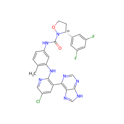 Cc1ccc(NC(=O)N2OCC[C@@H]2c2cc(F)cc(F)c2)cc1Nc1ncc(Cl)cc1-c1ncnc2[nH]cnc12